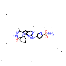 CC1=NNC(=O)C2(CCCCC2)n2c1cc1cnc(Nc3ccc(S(N)(=O)=O)nc3)nc12